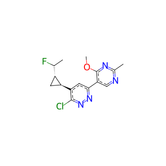 COc1nc(C)ncc1-c1cc([C@H]2C[C@@H]2C(C)F)c(Cl)nn1